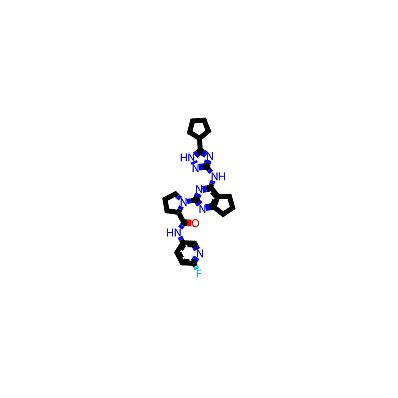 O=C(Nc1ccc(F)nc1)C1CCCN1c1nc2c(c(Nc3n[nH]c(C4CCCC4)n3)n1)CCC2